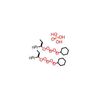 CC=C(CCC)OOOOOC1CCCCC1.CC=C(CCC)OOOOOC1CCCCC1.O=P(O)(O)O